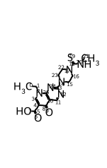 CCn1cc(C(=O)O)c(=O)c2cnc(N3CCN(C(=S)NC)CC3)nc21